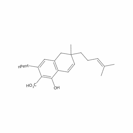 CCCCCc1cc2c(c(O)c1C(=O)O)C=CC(C)(CCC=C(C)C)C2